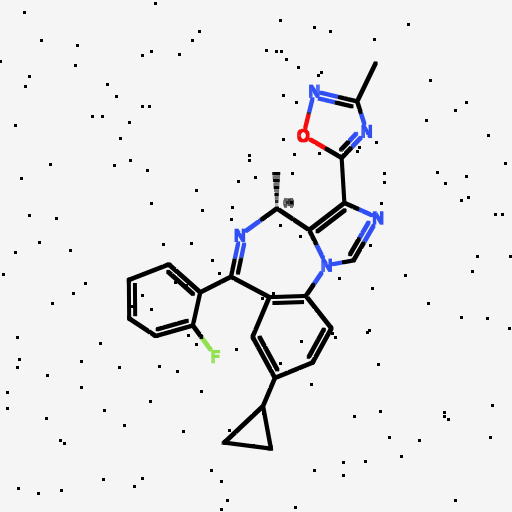 Cc1noc(-c2ncn3c2[C@@H](C)N=C(c2ccccc2F)c2cc(C4CC4)ccc2-3)n1